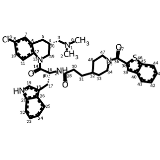 CN(C)C[C@H]1Cc2cc(Cl)ccc2N(C(=O)[C@@H](Cc2c[nH]c3ccccc23)NC(=O)CCC2CCN(C(=O)c3cc4ccccc4s3)CC2)C1